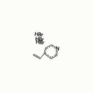 Br.Br.Br.C=Cc1ccncc1